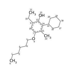 CCCCCCOc1cc(CC)c(O)c(C2CCCCC2)c1C